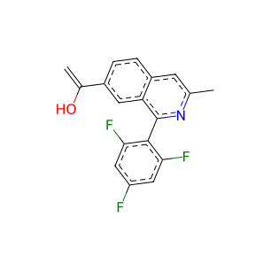 C=C(O)c1ccc2cc(C)nc(-c3c(F)cc(F)cc3F)c2c1